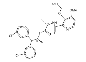 COc1ccnc(C(=O)N[C@@H](C)C(=O)O[C@@H](C)C(c2cccc(Cl)c2)c2cccc(Cl)c2)c1OCOC(C)=O